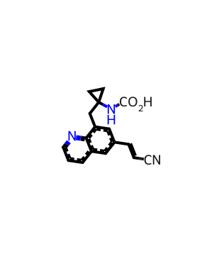 N#CC=Cc1cc(CC2(NC(=O)O)CC2)c2ncccc2c1